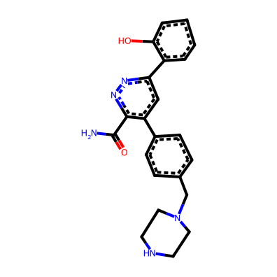 NC(=O)c1nnc(-c2ccccc2O)cc1-c1ccc(CN2CCNCC2)cc1